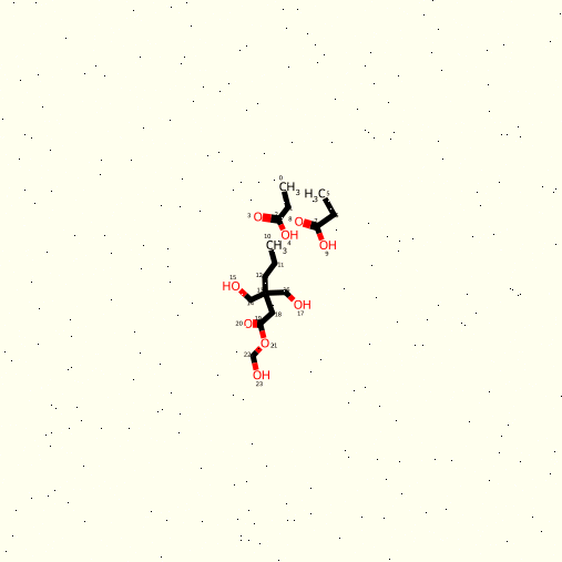 CCC(=O)O.CCC(=O)O.CCCC(CO)(CO)CC(=O)OCO